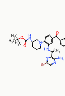 C=C(Nc1cc(C(=O)c2ccccc2)ccc1N1CCCC(NC(=O)OC(C)(C)C)C1)c1nc(Br)cnc1N